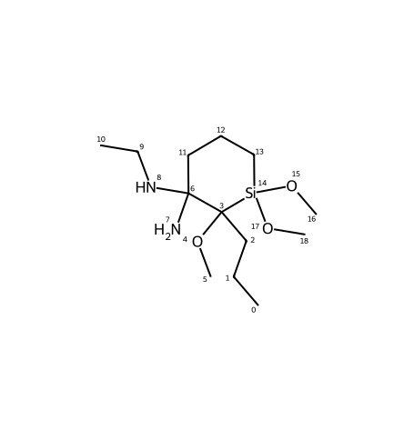 CCCC1(OC)C(N)(NCC)CCC[Si]1(OC)OC